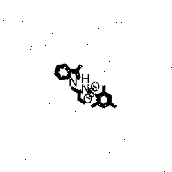 CCC(Cn1cc(C)c2ccccc21)NS(=O)(=O)c1c(C)cc(C)cc1C